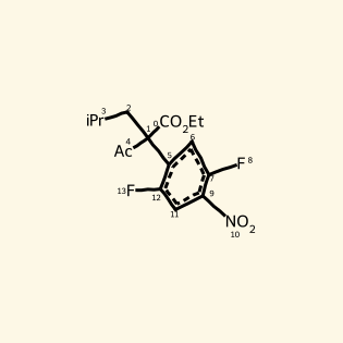 CCOC(=O)C(CC(C)C)(C(C)=O)c1cc(F)c([N+](=O)[O-])cc1F